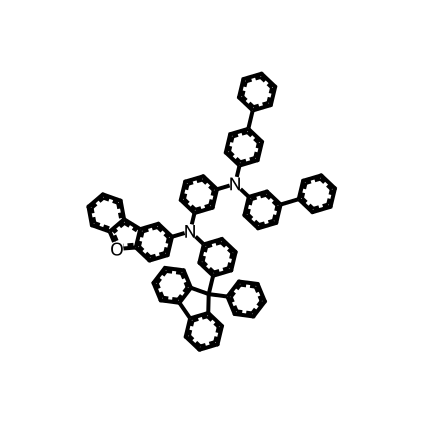 c1ccc(-c2ccc(N(c3cccc(-c4ccccc4)c3)c3cccc(N(c4cccc(C5(c6ccccc6)c6ccccc6-c6ccccc65)c4)c4ccc5oc6ccccc6c5c4)c3)cc2)cc1